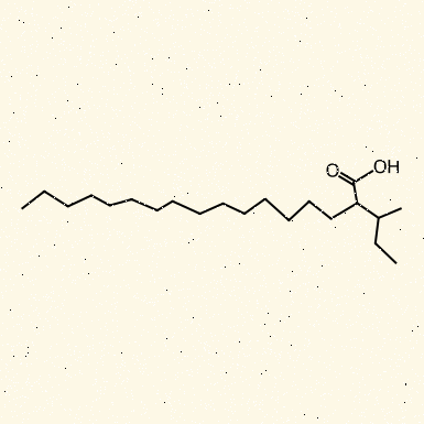 CCCCCCCCCCCCCCCC(C(=O)O)C(C)CC